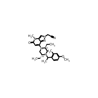 CC[C@H]1CN(C(C)c2ccc(OC)cc2C)[C@H](CC)CN1c1cc(=O)n(C)c2cn(CC#N)nc12